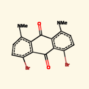 CNc1ccc(Br)c2c1C(=O)c1c(NC)ccc(Br)c1C2=O